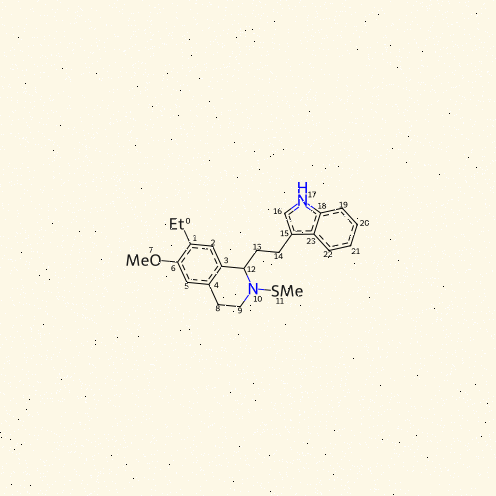 CCc1cc2c(cc1OC)CCN(SC)C2CCc1c[nH]c2ccccc12